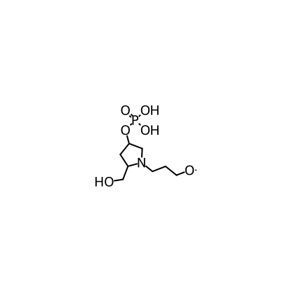 [O]CCCN1CC(OP(=O)(O)O)CC1CO